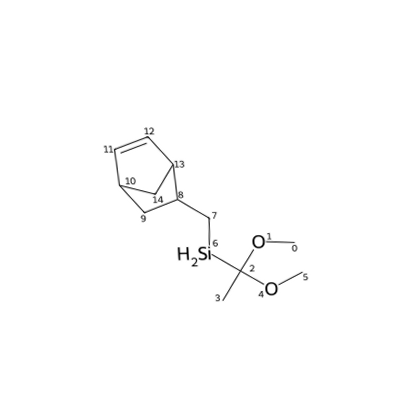 COC(C)(OC)[SiH2]CC1CC2C=CC1C2